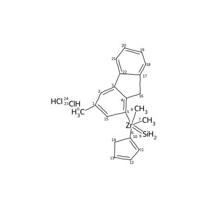 Cc1cc2c([c]([Zr]([CH3])([CH3])(=[SiH2])[C]3=CC=CC3)c1)Cc1ccccc1-2.Cl.Cl